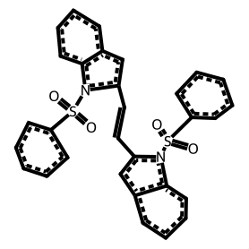 O=S(=O)(c1ccccc1)n1c(C=Cc2cc3ccccc3n2S(=O)(=O)c2ccccc2)cc2ccccc21